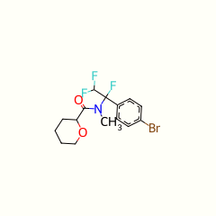 CN(C(=O)C1CCCCO1)C(F)(c1ccc(Br)cc1)C(F)F